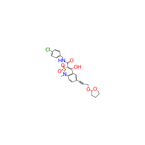 CN1c2ccc(C#CCOC3CCCCO3)cc2C(O)=C(C(=O)NCc2ccc(Cl)cc2)S1(=O)=O